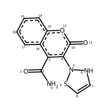 NC(=O)c1c(N2NC=CS2)c(=O)oc2ccccc12